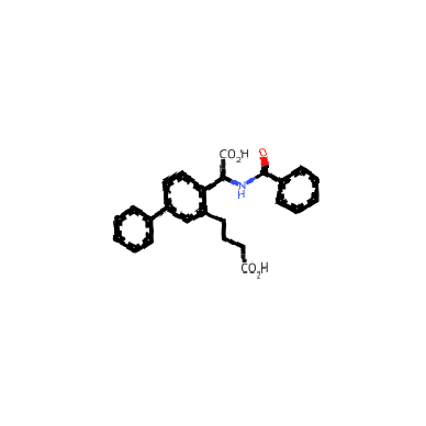 O=C(O)CCCc1cc(-c2ccccc2)ccc1C(NC(=O)c1ccccc1)C(=O)O